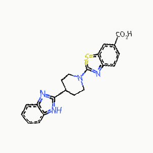 O=C(O)c1ccc2nc(N3CCC(c4nc5ccccc5[nH]4)CC3)sc2c1